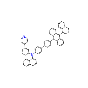 c1cc(-c2ccncc2)cc(N(c2ccc(-c3ccc(-c4c5ccccc5c(-c5cccc6ccccc56)c5ccccc45)cc3)cc2)c2cccc3ccccc23)c1